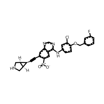 O=[N+]([O-])c1cc2c(Nc3ccc(OCc4cccc(F)c4)c(Cl)c3)ncnc2cc1C#C[C@H]1[C@H]2CNC[C@@H]12